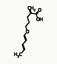 C=C(CCCOC=CC=CC)C(=O)O